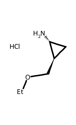 CCOC[C@@H]1C[C@H]1N.Cl